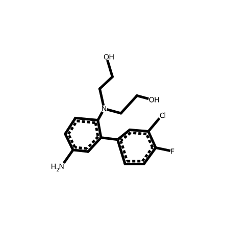 Nc1ccc(N(CCO)CCO)c(-c2ccc(F)c(Cl)c2)c1